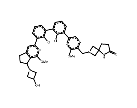 COc1nc(-c2cccc(-c3cccc(-c4cc5c(c(OC)n4)C(N4CC(O)C4)CC5)c3Cl)c2Cl)cnc1CN1CC2(CCC(=O)N2)C1